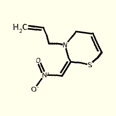 C=CCN1CC=CSC1=C[N+](=O)[O-]